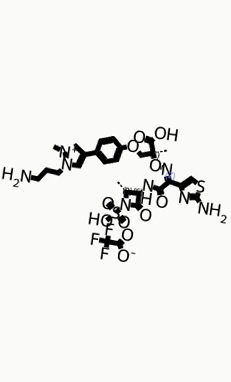 C[C@@H]1[C@H](NC(=O)/C(=N\O[C@@](C)(COc2ccc(-c3cn(CCCN)[n+](C)c3)cc2)C(=O)O)c2csc(N)n2)C(=O)N1S(=O)(=O)O.O=C([O-])C(F)(F)F